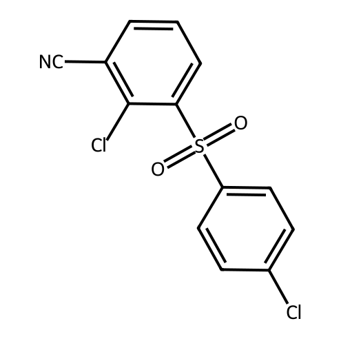 N#Cc1cccc(S(=O)(=O)c2ccc(Cl)cc2)c1Cl